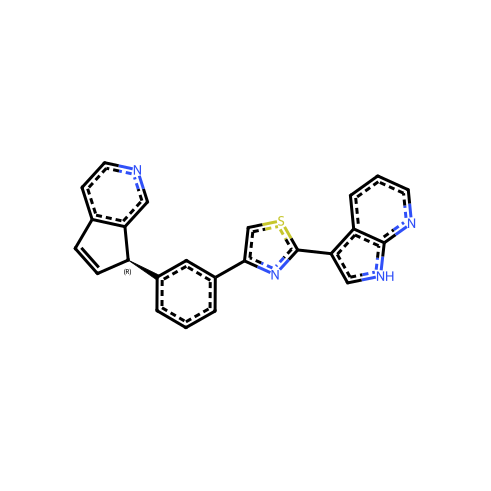 C1=C[C@H](c2cccc(-c3csc(-c4c[nH]c5ncccc45)n3)c2)c2cnccc21